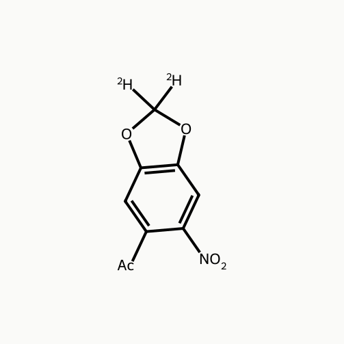 [2H]C1([2H])Oc2cc(C(C)=O)c([N+](=O)[O-])cc2O1